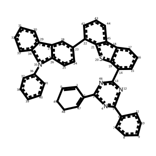 C1=CC(c2nc(-c3ccccc3)nc(-c3cccc4c3sc3c(-c5ccc6c(c5)c5ccccc5n6-c5ccccc5)cccc34)n2)=CCC1